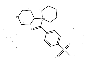 CS(=O)(=O)c1ccc(C(=O)[N+]2(C3CCNCC3)CCCCC2)cc1